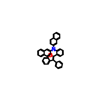 c1ccc(-c2c(-c3ccccc3N(c3ccc4ccccc4c3)c3ccc4ccccc4c3)oc3ccccc23)cc1